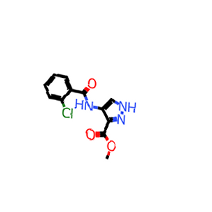 COC(=O)c1n[nH]cc1NC(=O)c1ccccc1Cl